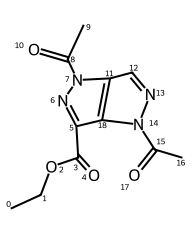 CCOC(=O)c1nn(C(C)=O)c2cnn(C(C)=O)c12